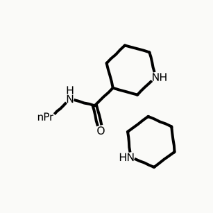 C1CCNCC1.CCCNC(=O)C1CCCNC1